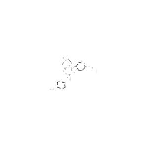 COc1ccc([N+]23C=CN=CC2=NC(Nc2ccc(CO)cc2)=N3)cn1